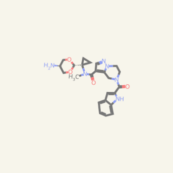 CN(C(=O)c1cnn2c1CN(C(=O)c1cc3ccccc3[nH]1)CC2)C1([C@H]2OC[C@H](N)CO2)CC1